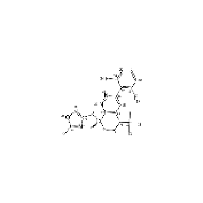 Cc1nc(C[C@@]2(C)CC[C@H](C(C)(C)C)c3cc(-c4c(F)cccc4F)nnc32)no1